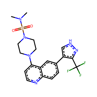 CN(C)S(=O)(=O)N1CCN(c2ccnc3ccc(-c4c[nH]nc4C(F)(F)F)cc23)CC1